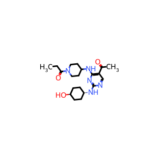 CCC(=O)N1CCC(Nc2nc(N[C@H]3CC[C@H](O)CC3)ncc2C(C)=O)CC1